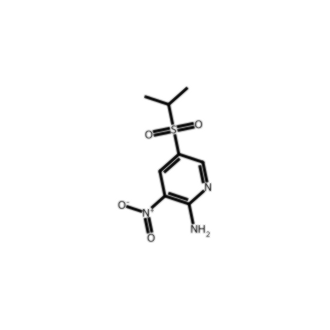 CC(C)S(=O)(=O)c1cnc(N)c([N+](=O)[O-])c1